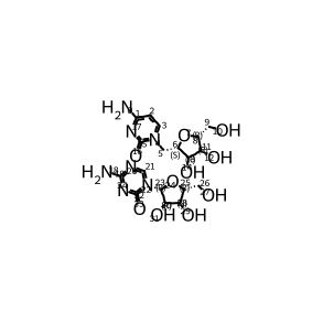 Nc1ccn(C[C@@H]2O[C@H](CO)[C@@H](O)[C@H]2O)c(=O)n1.Nc1ncn([C@@H]2O[C@H](CO)[C@@H](O)[C@H]2O)c(=O)n1